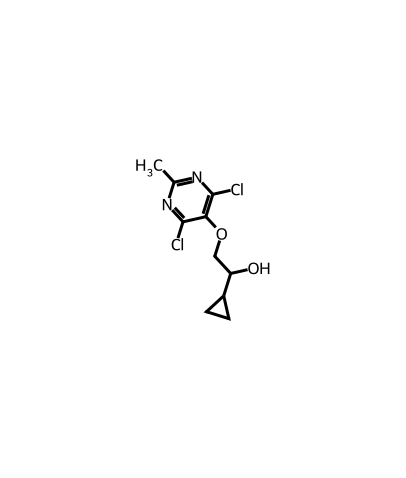 Cc1nc(Cl)c(OCC(O)C2CC2)c(Cl)n1